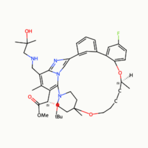 COC(=O)[C@@H](OC(C)(C)C)c1c(C)c(CNCC(C)(C)O)c2nc3cn2c1N1CCC(C)(CC1)OCCCC[C@H](C)Oc1ccc(F)cc1-c1cccc-3c1